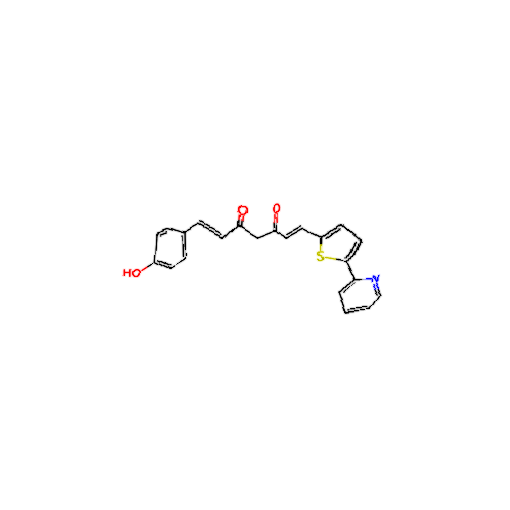 O=C(C=Cc1ccc(O)cc1)CC(=O)C=Cc1ccc(-c2ccccn2)s1